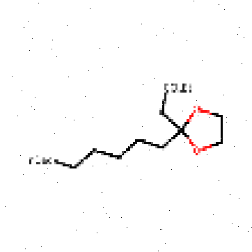 CCCCCCCCCCCCCCCC1(CC(=O)OCC)OCCO1